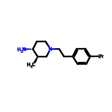 CC(C)c1ccc(CCN2CC[C@@H](N)[C@H](C)C2)cc1